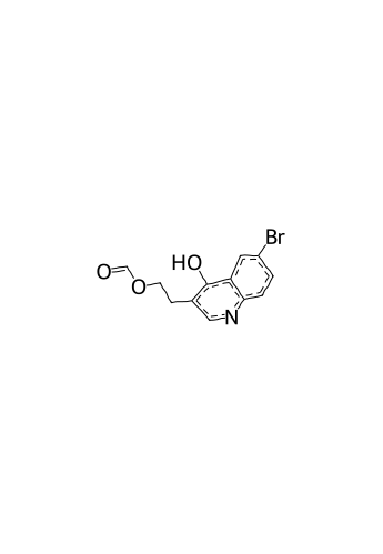 O=COCCc1cnc2ccc(Br)cc2c1O